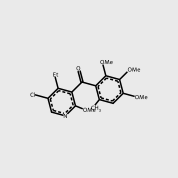 CCc1c(Cl)cnc(OC)c1C(=O)c1c(C)cc(OC)c(OC)c1OC